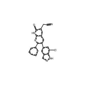 N#CCc1cc2cc(-c3cc(Cl)c4[nH]ncc4c3)c(-c3ccccc3)nc2[nH]c1=O